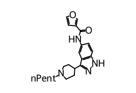 CCCCCN1CCC(c2n[nH]c3ccc(NC(=O)c4ccoc4)cc23)CC1